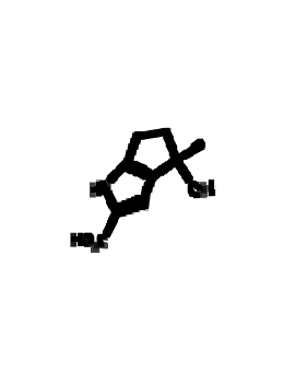 C[C@]1(O)CCc2[nH]c(C(=O)O)cc21